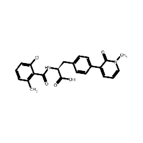 Cc1cccc(Cl)c1C(=O)N[C@@H](Cc1ccc(-c2cccn(C)c2=O)cc1)C(=O)O